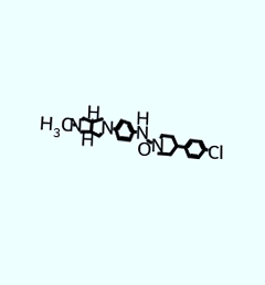 CN1C[C@@H]2CN(c3ccc(NC(=O)N4CCC(c5ccc(Cl)cc5)CC4)cc3)C[C@@H]2C1